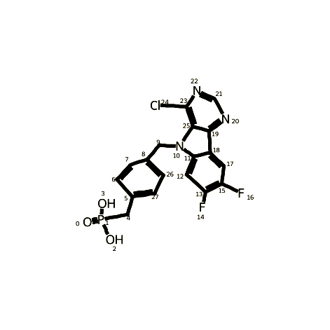 O=P(O)(O)Cc1ccc(Cn2c3cc(F)c(F)cc3c3ncnc(Cl)c32)cc1